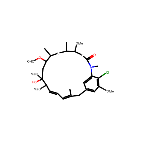 CNC1(O)CC(OC=O)C(C)CC(C)C(OC)CC(=O)N(C)c2cc(cc(OC)c2Cl)C/C(C)=C/C=C/C1OC